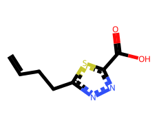 C=CCCc1nnc(C(=O)O)s1